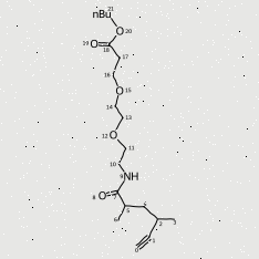 C#CC(C)CC(C)C(=O)NCCOCCOCCC(=O)OCCCC